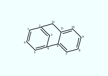 c1cc2cc(c1)-c1ccccc1C2